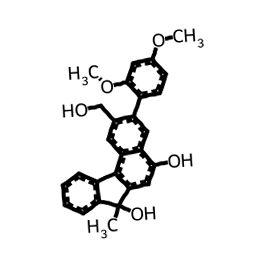 COc1ccc(-c2cc3c(O)cc4c(c3cc2CO)-c2ccccc2C4(C)O)c(OC)c1